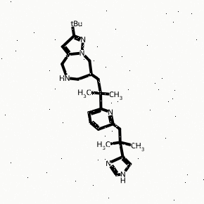 CC(C)(C)c1cc2n(n1)CC(CC(C)(C)c1cccc(CC(C)(C)c3c[nH]cn3)n1)CNC2